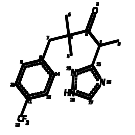 CC(C(=O)C(C)(C)Cc1ccc(C(F)(F)F)cc1)c1nc[nH]n1